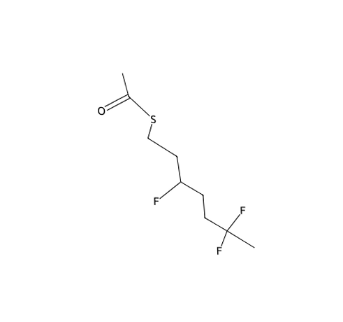 CC(=O)SCCC(F)CCC(C)(F)F